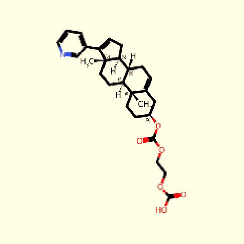 C[C@]12CC[C@H](OC(=O)OCCOC(=O)O)CC1=CC[C@@H]1[C@@H]2CC[C@]2(C)C(c3cccnc3)=CC[C@@H]12